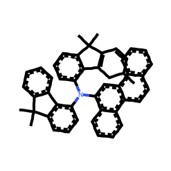 CC1C=CC2=C(C1)c1c(N(c3cccc4c3-c3ccccc3C4(C)C)c3cc4c5ccccc5ccc4c4ccccc34)cccc1C2(C)C